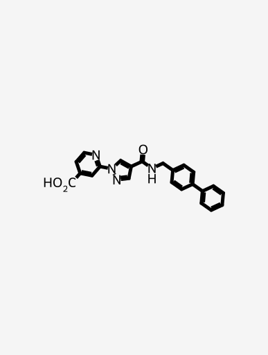 O=C(O)c1ccnc(-n2cc(C(=O)NCc3ccc(-c4ccccc4)cc3)cn2)c1